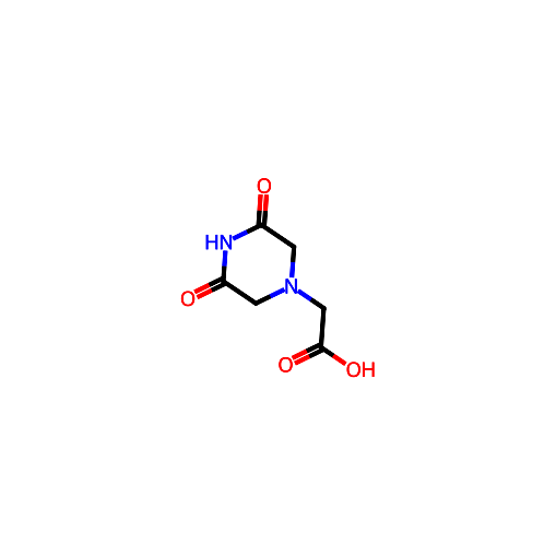 O=C(O)CN1CC(=O)NC(=O)C1